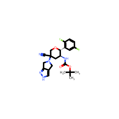 CC(C)(C)OC(=O)N[C@H]1CC(C#N)(N2Cc3c[nH]nc3C2)CO[C@@H]1c1cc(F)ccc1F